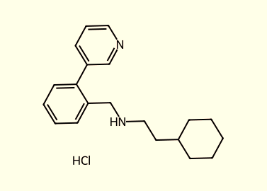 Cl.c1cncc(-c2ccccc2CNCCC2CCCCC2)c1